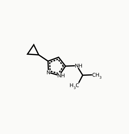 CC(C)Nc1cc(C2CC2)n[nH]1